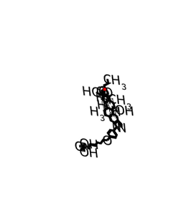 CCCC1O[C@@H]2C[C@H]3[C@@H]4CCC5=Cc6c(cnn6-c6ccc(OCCCCCCP(=O)(O)O)cc6)C[C@]5(C)[C@H]4[C@@H](O)C[C@]3(C)[C@]2(C(=O)CO)O1